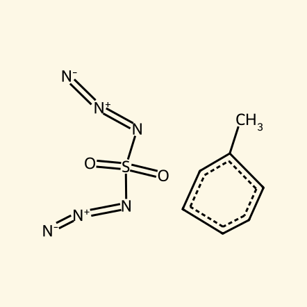 Cc1ccccc1.[N-]=[N+]=NS(=O)(=O)N=[N+]=[N-]